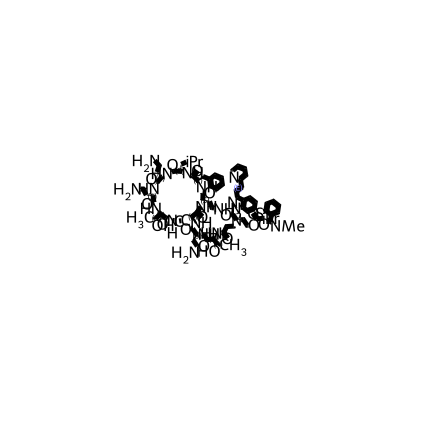 CNC(=O)c1ccccc1Sc1ccc2c(/C=C/c3ccccn3)nn(C(=O)N(CCOC(=O)C(C)C)CCC(=O)N[C@H](C(=O)N[C@@H](CCN)C(=O)N[C@H]3CCNC(=O)[C@H]([C@@H](C)O)NC(=O)[C@H](CCN)NC(=O)[C@H](CCN)NC(=O)[C@H](CC(C)C)NC(=O)[C@@H](Cc4ccccc4)NC(=O)[C@H](CCN)NC3=O)[C@@H](C)O)c2c1